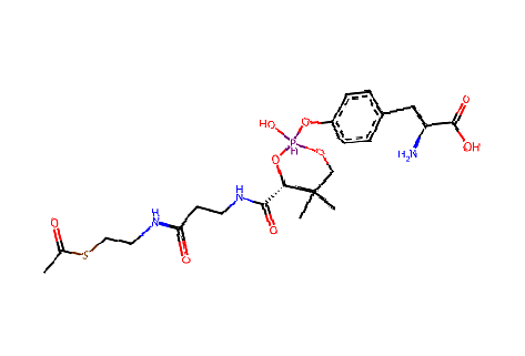 CC(=O)SCCNC(=O)CCNC(=O)[C@@H]1O[PH](O)(Oc2ccc(C[C@H](N)C(=O)O)cc2)OCC1(C)C